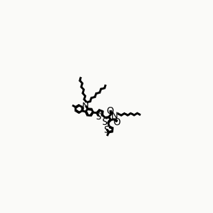 CCCCCCCCC(CCCCCCCC)n1c2cc(C)ccc2c2ccc(-c3ccc(-c4sc(-c5ccc(C)s5)c5c4C(=O)N(CCCCCCCC)C5=O)s3)cc21